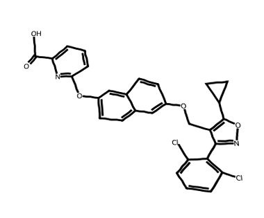 O=C(O)c1cccc(Oc2ccc3cc(OCc4c(-c5c(Cl)cccc5Cl)noc4C4CC4)ccc3c2)n1